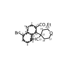 CCOC(=O)c1cnc2c(Br)cccc2c1C1(C=O)CCOCC1